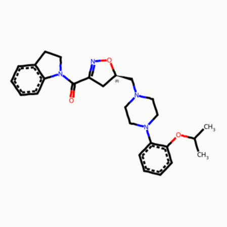 CC(C)Oc1ccccc1N1CCN(C[C@H]2CC(C(=O)N3CCc4ccccc43)=NO2)CC1